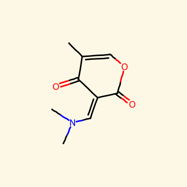 CC1=COC(=O)C(=CN(C)C)C1=O